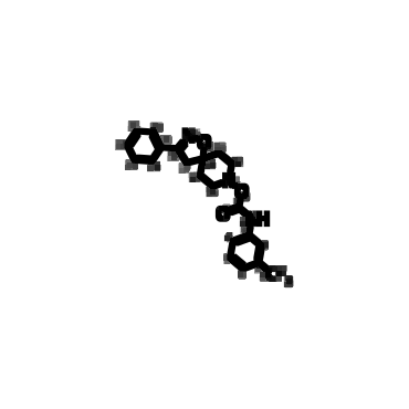 O=C(Nc1cccc(C(F)(F)F)c1)ON1CCC2(CC1)CC(c1ccccc1)=NO2